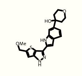 COCc1cc2[nH]nc(-c3cc4ccc(C5(O)CCOCC5)cc4[nH]3)c2s1